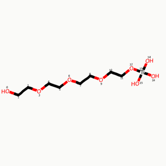 OCCOCCOCCOCC[O][Ti]([OH])([OH])[OH]